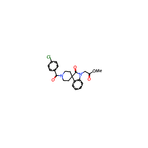 COC(=O)CN1C(=O)C2(CCN(C(=O)c3ccc(Cl)cc3)CC2)c2ccccc21